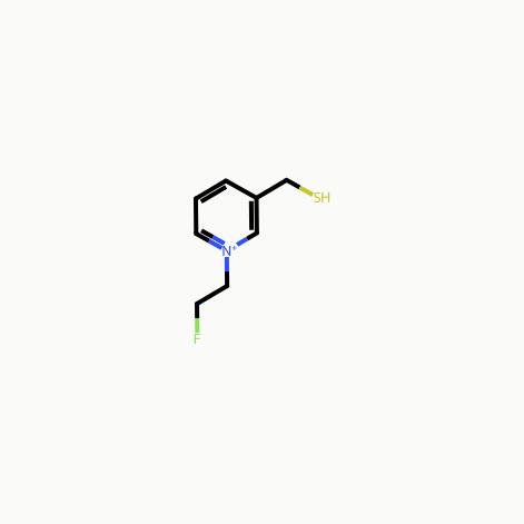 FCC[n+]1cccc(CS)c1